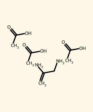 C=C(N)CN.CC(=O)O.CC(=O)O.CC(=O)O